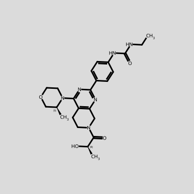 CCNC(=O)Nc1ccc(-c2nc3c(c(N4CCOC[C@@H]4C)n2)CCN(C(=O)[C@@H](C)O)C3)cc1